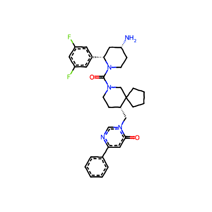 N[C@@H]1CCN(C(=O)N2CC[C@@H](Cn3cnc(-c4ccccc4)cc3=O)C3(CCCC3)C2)[C@H](c2cc(F)cc(F)c2)C1